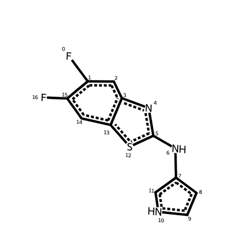 Fc1cc2nc(Nc3cc[nH]c3)sc2cc1F